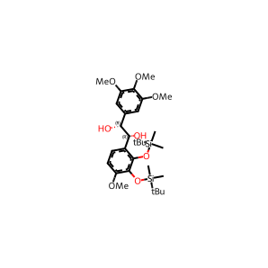 COc1cc([C@@H](O)[C@H](O)c2ccc(OC)c(O[Si](C)(C)C(C)(C)C)c2O[Si](C)(C)C(C)(C)C)cc(OC)c1OC